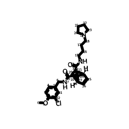 COc1ccc(CNC(=O)[C@H]2[C@H](C(=O)NCCCCN3CCCC3)[C@H]3C=C[C@@H]2C32CC2)cc1Cl